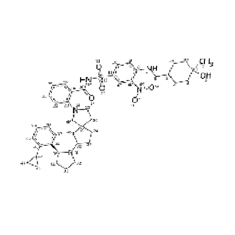 CC1(O)CCC(CNc2ccc(S(=O)(=O)NC(=O)c3ccccc3N3CCC4(CCC(N5CCC[C@H]5c5ccccc5C5CC5)C4)C3)cc2[N+](=O)[O-])CC1